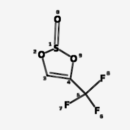 O=S1OC=C(C(F)(F)F)O1